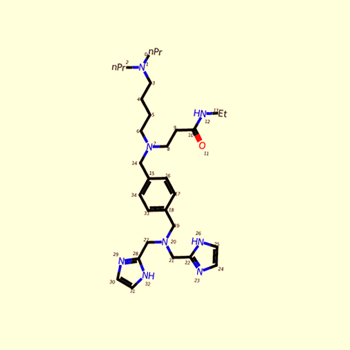 CCCN(CCC)CCCCN(CCC(=O)NCC)Cc1ccc(CN(Cc2ncc[nH]2)Cc2ncc[nH]2)cc1